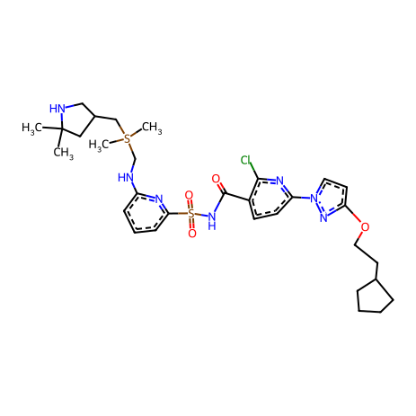 CC1(C)CC(CS(C)(C)CNc2cccc(S(=O)(=O)NC(=O)c3ccc(-n4ccc(OCCC5CCCC5)n4)nc3Cl)n2)CN1